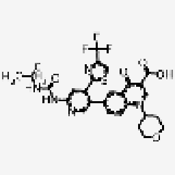 CC(C)NC(=O)Nc1cc(-c2nc(C(F)(F)F)cs2)c(-c2ccc3c(c2)c(=O)c(C(=O)O)cn3C2CCOCC2)cn1